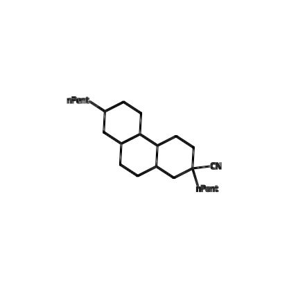 CCCCCC1CCC2C(CCC3CC(C#N)(CCCCC)CCC32)C1